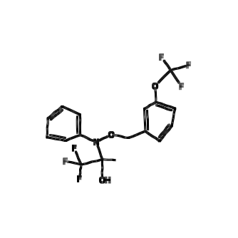 CC(O)(N(OCc1cccc(OC(F)(F)F)c1)c1ccccc1)C(F)(F)F